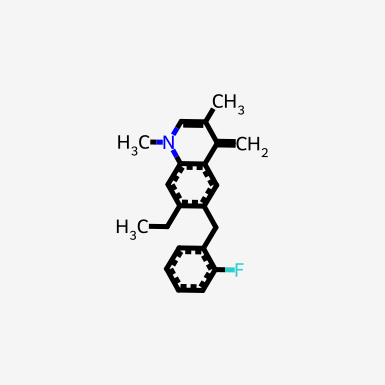 C=C1C(C)=CN(C)c2cc(CC)c(Cc3ccccc3F)cc21